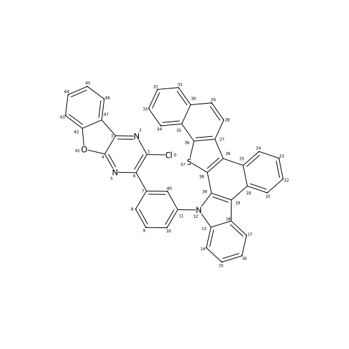 Clc1nc2c(nc1-c1cccc(-n3c4ccccc4c4c5ccccc5c5c6ccc7ccccc7c6sc5c43)c1)oc1ccccc12